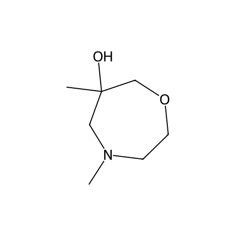 CN1CCOCC(C)(O)C1